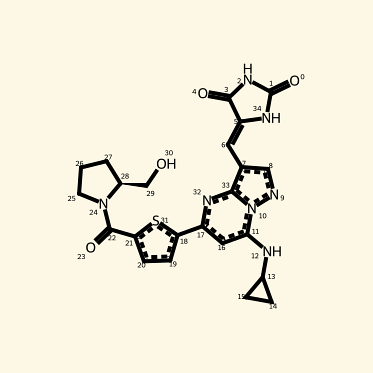 O=C1NC(=O)/C(=C/c2cnn3c(NC4CC4)cc(-c4ccc(C(=O)N5CCC[C@H]5CO)s4)nc23)N1